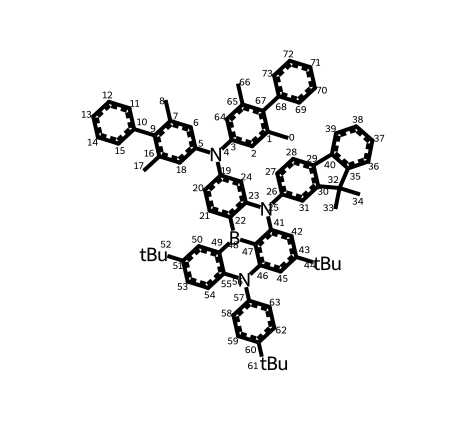 Cc1cc(N(c2cc(C)c(-c3ccccc3)c(C)c2)c2ccc3c(c2)N(c2ccc4c(c2)C(C)(C)c2ccccc2-4)c2cc(C(C)(C)C)cc4c2B3c2cc(C(C)(C)C)ccc2N4c2ccc(C(C)(C)C)cc2)cc(C)c1-c1ccccc1